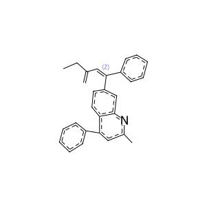 C=C(/C=C(/c1ccccc1)c1ccc2c(-c3ccccc3)cc(C)nc2c1)CC